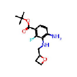 CC(C)(C)OC(=O)c1ccc(N)c(NCC2CCO2)c1F